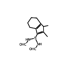 CC1=[C]([Ti]([NH]C=O)[NH]C=O)C2=C(CCCC2)C1C